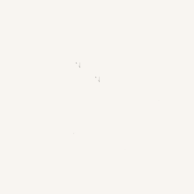 c1ccc(-c2cc(-c3cc4c(cc3-c3cccc5c3sc3ccccc35)-c3ccccc3C4(c3ccccc3)c3ccccc3)nc(-c3ccccc3)n2)cc1